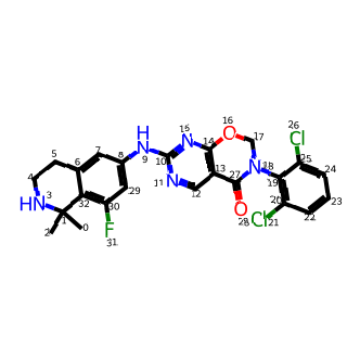 CC1(C)NCCc2cc(Nc3ncc4c(n3)OCN(c3c(Cl)cccc3Cl)C4=O)cc(F)c21